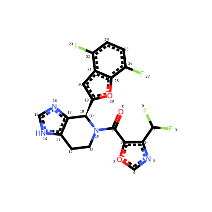 O=C(c1ocnc1C(F)F)N1CCc2[nH]cnc2[C@H]1c1cc2c(F)ccc(F)c2o1